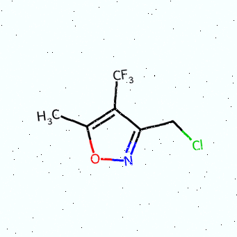 Cc1onc(CCl)c1C(F)(F)F